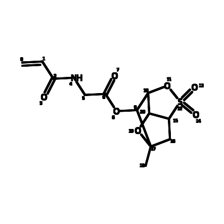 C=CC(=O)NCC(=O)OC1C2OS(=O)(=O)C3CC1(C)OC23